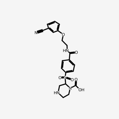 N#Cc1cccc(OCCNC(=O)c2ccc(S(=O)(=O)C3CNCCN3C(=O)O)cc2)c1